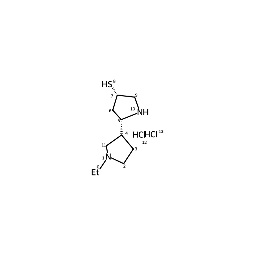 CCN1CCC([C@@H]2C[C@H](S)CN2)C1.Cl.Cl